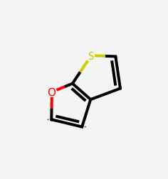 [c]1[c]c2ccsc2o1